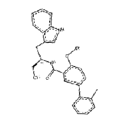 CCOc1ccc(-c2ccccc2C)cc1C(=O)N[C@@H](CO)Cc1c[nH]c2ccccc12